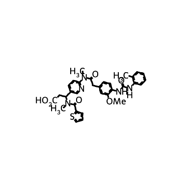 COc1cc(CC(=O)N(C)c2ccc(C(CC(=O)O)N(C)C(=O)c3cccs3)cn2)ccc1NC(=O)Nc1ccccc1C